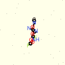 N#Cc1cc2c(Oc3ccc(NC(=O)Oc4ccc(F)cc4)c(F)c3)ccnc2cc1OCCCN1CCCCC1